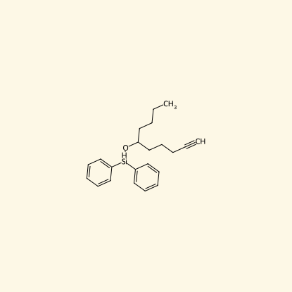 C#CCCCC(CCCC)O[SiH](c1ccccc1)c1ccccc1